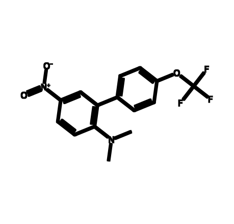 CN(C)c1ccc([N+](=O)[O-])cc1-c1ccc(OC(F)(F)F)cc1